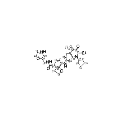 CC[C@@H]1C(=O)N(C)c2cnc(Nc3ccc(C(=O)NCC4CNCCO4)c4c3OCC4)nc2N1C1CCCC1